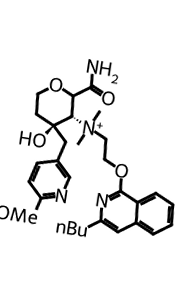 CCCCc1cc2ccccc2c(OCC[N+](C)(C)[C@H]2C(C(N)=O)OCC[C@@]2(O)Cc2ccc(OC)nc2)n1